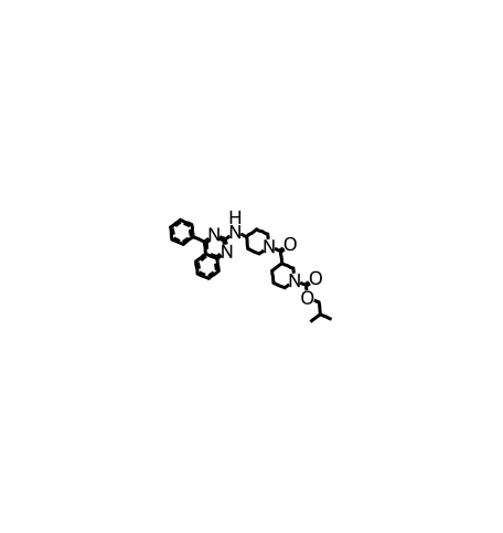 CC(C)COC(=O)N1CCCC(C(=O)N2CCC(Nc3nc(-c4ccccc4)c4ccccc4n3)CC2)C1